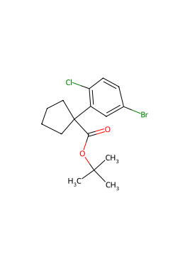 CC(C)(C)OC(=O)C1(c2cc(Br)ccc2Cl)CCCC1